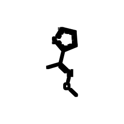 CON=C(C)c1cc[c]s1